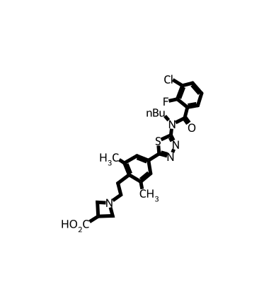 CCCCN(C(=O)c1cccc(Cl)c1F)c1nnc(-c2cc(C)c(CCN3CC(C(=O)O)C3)c(C)c2)s1